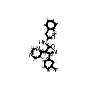 O=C(Cc1ccccc1F)Nc1onc(-c2cccc(F)c2)c1-c1ccncn1